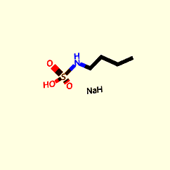 CCCCNS(=O)(=O)O.[NaH]